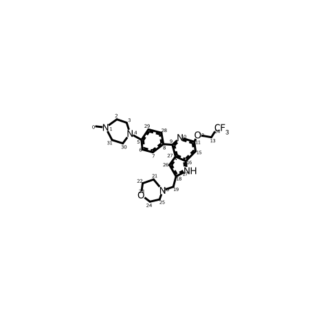 CN1CCN(c2ccc(-c3nc(OCC(F)(F)F)cc4[nH]c(CN5CCOCC5)cc34)cc2)CC1